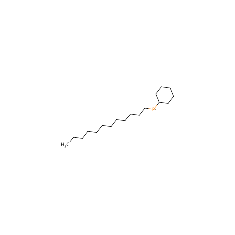 CCCCCCCCCCCC[P]C1CCCCC1